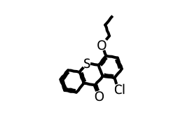 CCCOc1ccc(Cl)c2c(=O)c3c(sc12)C=C=C=C3